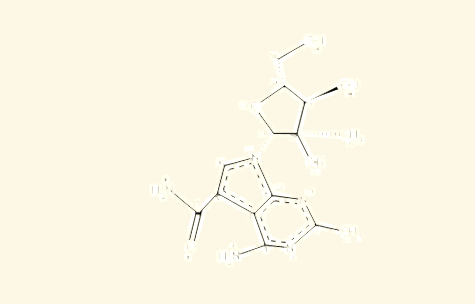 Cc1nc(N)c2c(C(N)=O)cn([C@@H]3O[C@H](CO)[C@@H](O)[C@@]3(C)O)c2n1